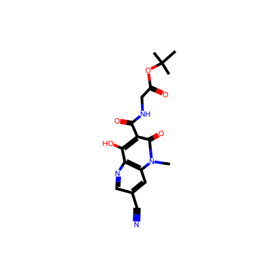 Cn1c(=O)c(C(=O)NCC(=O)OC(C)(C)C)c(O)c2ncc(C#N)cc21